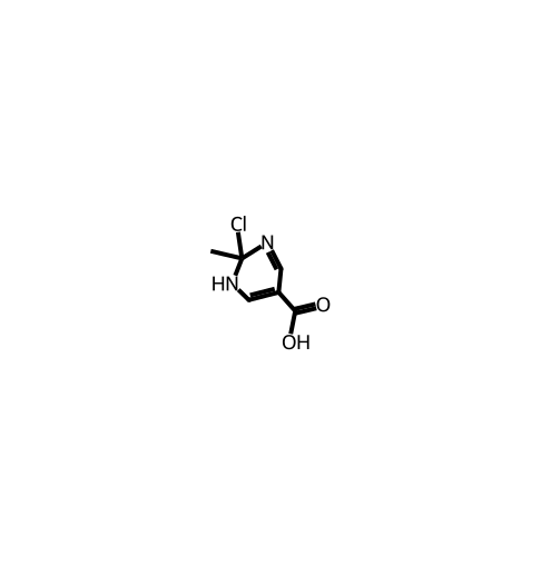 CC1(Cl)N=CC(C(=O)O)=CN1